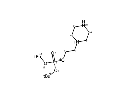 CC(C)(C)OP(=O)(OCCN1CCNCC1)OC(C)(C)C